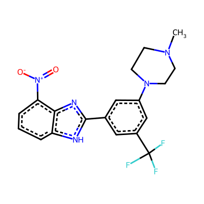 CN1CCN(c2cc(-c3nc4c([N+](=O)[O-])cccc4[nH]3)cc(C(F)(F)F)c2)CC1